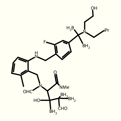 BC(B)(c1ccc(CNc2cccc(C)c2CN(C=O)C(C(=O)NC)C(B)(O)C(B)(B)C=O)c(F)c1)N(CCO)CC(C)C